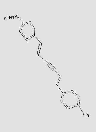 CCCCCCCc1ccc(C=CC#CC=Cc2ccc(CCC)cc2)cc1